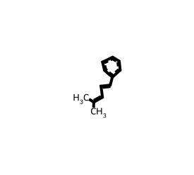 CC(C)=CC=Cc1ccccc1